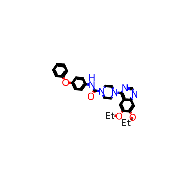 CCOc1cc2ncnc(N3CCN(C(=O)Nc4ccc(Oc5ccccc5)cc4)CC3)c2cc1OCC